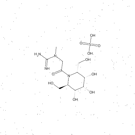 CN(CC(=O)N1[C@H](CO)[C@H](O)[C@H](O)[C@H](O)[C@H]1CO)C(=N)N.O=S(=O)(O)O